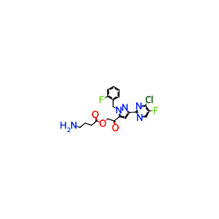 NCCCC(=O)OCC(=O)c1cc(-c2ncc(F)c(Cl)n2)nn1Cc1ccccc1F